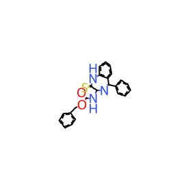 O=C(NC1N=C(c2ccccc2)c2ccccc2NC1=S)OCc1ccccc1